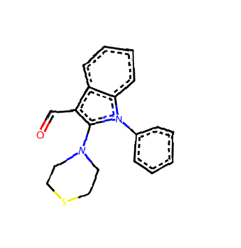 O=Cc1c(N2CCSCC2)n(-c2ccccc2)c2ccccc12